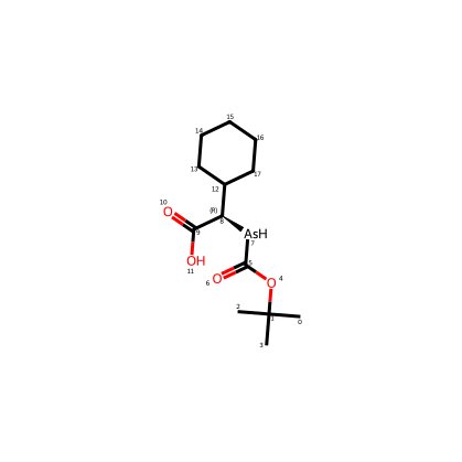 CC(C)(C)OC(=O)[AsH][C@@H](C(=O)O)C1CCCCC1